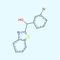 OC(c1cccc(Br)c1)c1nc2ccccc2s1